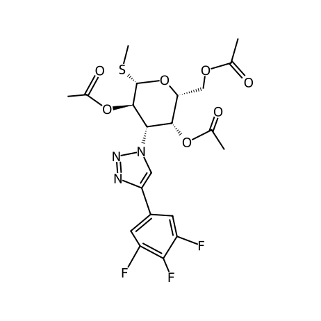 CS[C@@H]1O[C@H](COC(C)=O)[C@H](OC(C)=O)[C@H](n2cc(-c3cc(F)c(F)c(F)c3)nn2)[C@H]1OC(C)=O